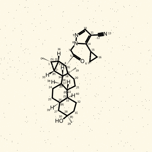 C[C@H]1[C@@H]2[C@H]1[C@H](C(=O)Cn1ncc(C#N)c1C1CC1)[C@@]1(C)CC[C@H]3[C@@H](CC[C@@H]4C[C@](C)(O)CC[C@@H]43)[C@H]21